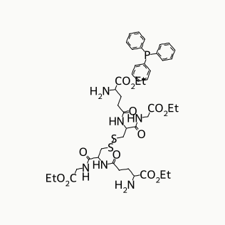 CCOC(=O)CNC(=O)C(CSSCC(NC(=O)CCC(N)C(=O)OCC)C(=O)NCC(=O)OCC)NC(=O)CCC(N)C(=O)OCC.c1ccc(P(c2ccccc2)c2ccccc2)cc1